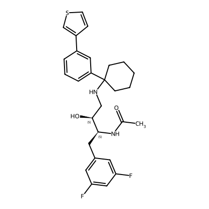 CC(=O)N[C@@H](Cc1cc(F)cc(F)c1)[C@@H](O)CNC1(c2cccc(-c3ccsc3)c2)CCCCC1